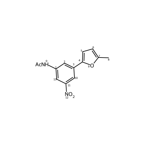 CC(=O)Nc1cc(-c2ccc(C)o2)cc([N+](=O)[O-])c1